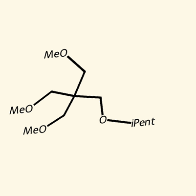 CCCC(C)OCC(COC)(COC)COC